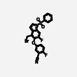 N#Cc1cc(Oc2c(F)cc3c(ccn3S(=O)(=O)c3ccccc3)c2CBr)ccc1F